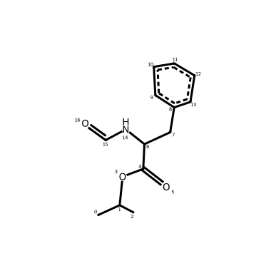 CC(C)OC(=O)C(Cc1ccccc1)NC=O